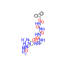 CC(C)[C@H](NC(=O)CNC(=O)CNC(=O)CNC(=O)OCC1c2ccccc2-c2ccccc21)C(=O)N[C@@H](CCCNC(N)=O)C(=O)C(N)CN